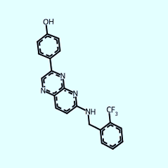 Oc1ccc(-c2cnc3ccc(NCc4ccccc4C(F)(F)F)nc3n2)cc1